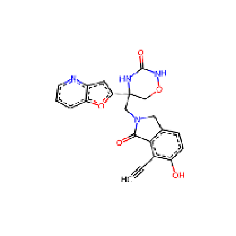 C#Cc1c(O)ccc2c1C(=O)N(CC1(c3cc4ncccc4o3)CONC(=O)N1)C2